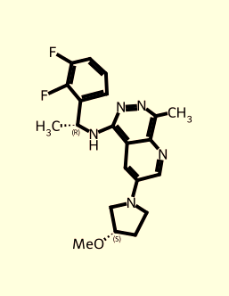 CO[C@H]1CCN(c2cnc3c(C)nnc(N[C@H](C)c4cccc(F)c4F)c3c2)C1